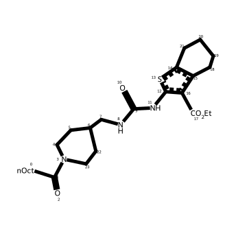 CCCCCCCCC(=O)N1CCC(CNC(=O)Nc2sc3c(c2C(=O)OCC)CCCC3)CC1